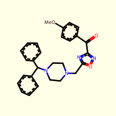 COc1ccc(C(=O)c2noc(CN3CCN(C(c4ccccc4)c4ccccc4)CC3)n2)cc1